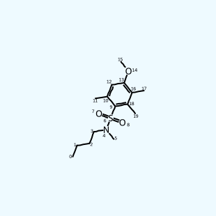 CCCCN(C)S(=O)(=O)c1c(C)cc(OC)c(C)c1C